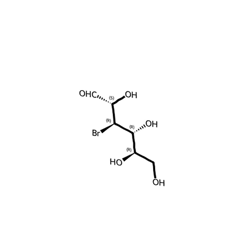 O=C[C@H](O)[C@H](Br)[C@H](O)[C@H](O)CO